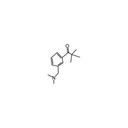 CN(C)Cc1cccc(C(=O)C(C)(C)C)c1